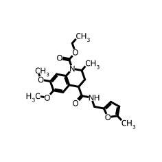 CCOC(=O)N1c2cc(OC)c(OC)cc2C(C(=O)NCc2ccc(C)o2)CC1C